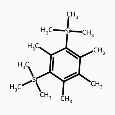 Cc1c(C)c([Si](C)(C)C)c(C)c([Si](C)(C)C)c1C